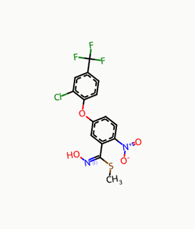 CS/C(=N/O)c1cc(Oc2ccc(C(F)(F)F)cc2Cl)ccc1[N+](=O)[O-]